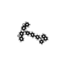 c1ccc(N(c2ccc(-c3ccc(-c4ccc(N(c5ccc6oc7ccccc7c6c5)c5ccc6oc7ccccc7c6c5)cc4)cc3)cc2)c2cccc3ccccc23)cc1